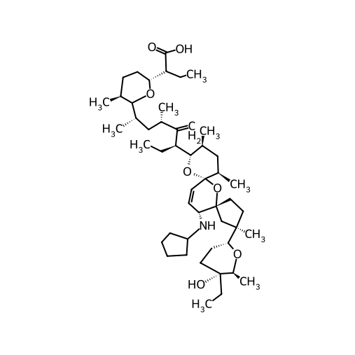 C=C([C@@H](C)C[C@H](C)C1O[C@@H](C(CC)C(=O)O)CC[C@@H]1C)[C@H](CC)[C@H]1O[C@]2(C=C[C@@H](NC3CCCC3)[C@]3(CC[C@@](C)([C@H]4CC[C@](O)(CC)[C@H](C)O4)C3)O2)[C@H](C)C[C@@H]1C